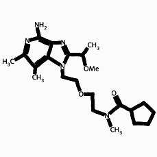 COC(C)c1nc2c(N)nc(C)c(C)c2n1CCOCCN(C)C(=O)C1CCCC1